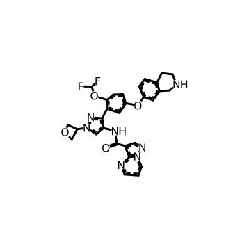 O=C(Nc1cn(C2COC2)nc1-c1cc(Oc2ccc3c(c2)CNCC3)ccc1OC(F)F)c1cnn2cccnc12